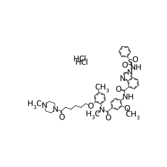 COc1cc(C(=O)N(C)c2ccc(C)cc2OCCCCCC(=O)N2CCN(C)CC2)ccc1NC(=O)c1cccc2c1ncn2NS(=O)(=O)c1ccccc1.Cl.Cl